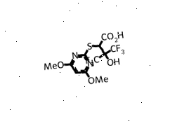 COc1cc(OC)nc(SC(C(=O)O)C(O)(C(F)(F)F)C(F)(F)F)n1